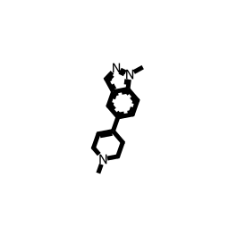 CN1CC=C(c2ccc3c(cnn3C)c2)CC1